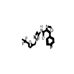 CC(F)(F)c1ccc(Cn2ncc(NC(=O)c3ncoc3-c3ccc(F)cc3)n2)o1